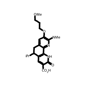 CNc1nc2c(cc1OCCCOC)CC(C(C)C)c1cc(C(=O)O)c(=O)[nH]c1-2